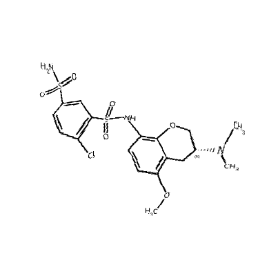 COc1ccc(NS(=O)(=O)c2cc(S(N)(=O)=O)ccc2Cl)c2c1C[C@@H](N(C)C)CO2